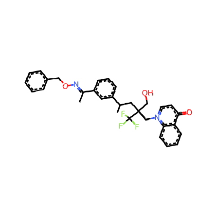 CC(=NOCc1ccccc1)c1cccc(C(C)CC(CO)(Cn2ccc(=O)c3ccccc32)C(F)(F)F)c1